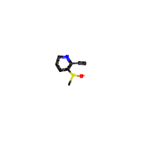 C[S+]([O-])c1cccnc1C=O